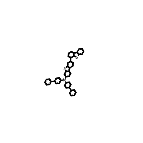 c1ccc(-c2ccc(N(c3ccc(-c4ccccc4)cc3)c3ccc4c(c3)sc3cc(-c5cccc6c5sc5ccccc56)ccc34)cc2)cc1